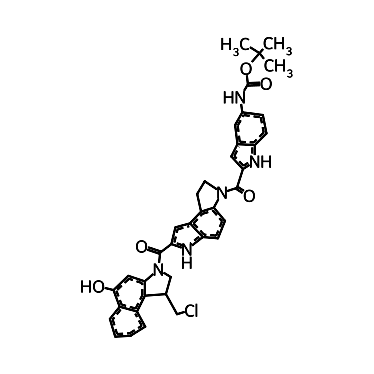 CC(C)(C)OC(=O)Nc1ccc2[nH]c(C(=O)N3CCc4c3ccc3[nH]c(C(=O)N5CC(CCl)c6c5cc(O)c5ccccc65)cc43)cc2c1